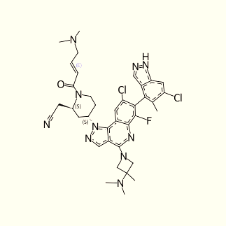 Cc1c(Cl)cc2[nH]ncc2c1-c1c(Cl)cc2c(nc(N3CC(C)(N(C)C)C3)c3cnn([C@H]4CCN(C(=O)/C=C/CN(C)C)[C@H](CC#N)C4)c32)c1F